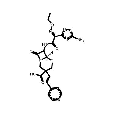 CCON=C(C(=O)NC1C(=O)N2CC(C=Cc3ccncc3)(C(=O)O)CS[C@H]12)c1nsc(N)n1